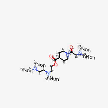 CCCCCCCCCN(CCCCCCCCC)CCN(CCCCCCCCC)CCOC(=O)C1CCN(C(=O)CN(CCCCCCCCC)CCCCCCCCC)CC1